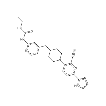 CCNC(=O)Nc1cc(CC2CCN(c3ccc(-c4ncc[nH]4)nc3C#N)CC2)ccn1